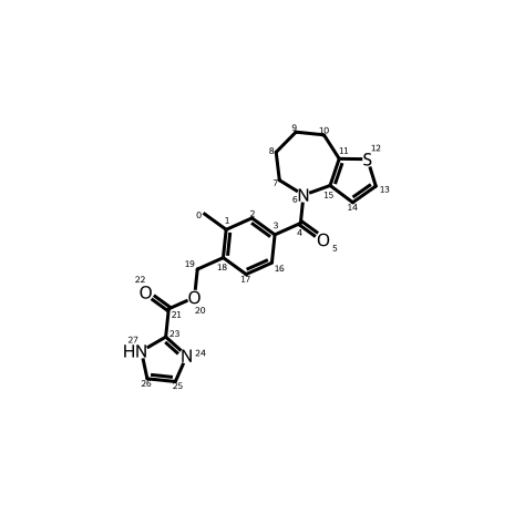 Cc1cc(C(=O)N2CCCCc3sccc32)ccc1COC(=O)c1ncc[nH]1